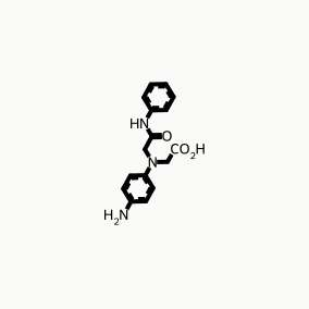 Nc1ccc(N(CC(=O)O)CC(=O)Nc2ccccc2)cc1